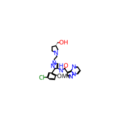 COc1ccc(Cl)cc1-c1nn(CCN2CC[C@H](CO)C2)cc1NC(=O)c1cnn2cccnc12